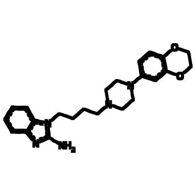 Nc1nc2ccccc2n1CCCCN1CCN(c2ccc3c(c2)OCCO3)CC1